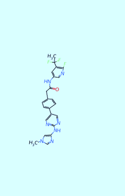 Cn1cnc(Nc2ncc(-c3ccc(CC(=O)Nc4cnc(F)c(C(C)(F)F)c4)cc3)cn2)c1